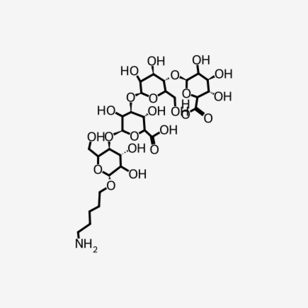 NCCCCCO[C@@H]1OC(CO)[C@@H](O[C@@H]2OC(C(=O)O)[C@@H](O)[C@H](O[C@@H]3OC(CO)[C@@H](O[C@@H]4OC(C(=O)O)[C@@H](O)[C@H](O)C4O)[C@H](O)C3O)C2O)[C@H](O)C1O